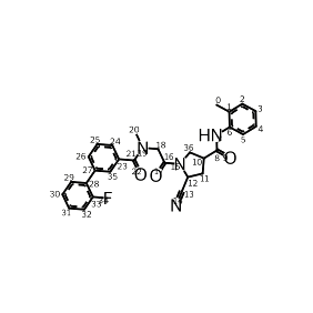 Cc1ccccc1NC(=O)C1CC(C#N)N(C(=O)CN(C)C(=O)c2cccc(-c3ccccc3F)c2)C1